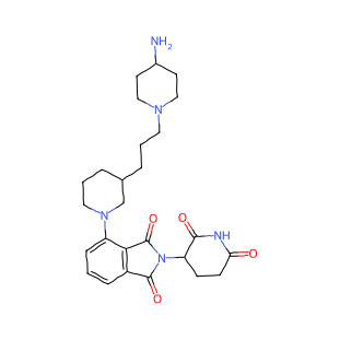 NC1CCN(CCCC2CCCN(c3cccc4c3C(=O)N(C3CCC(=O)NC3=O)C4=O)C2)CC1